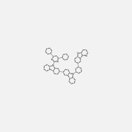 c1ccc(-c2cc(-c3ccccc3)nc(-n3c4ccccc4c4ccc(-c5ccc6c(c5)c5ccccc5n6-c5cccc(-c6ccc7oc8cccnc8c7c6)c5)cc43)n2)cc1